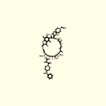 CO[C@H]1/C=C/OC2(C)Oc3c(C)c(O)c(c(C)c3C2=O)C(=O)/C(=C2\C=NC3(CCN(CC(C)C)CC3)N2)NC(=O)/C(C)=C\C=C\C(C)[C@H](O)[C@@H](C)C(O)[C@@H](C)[C@H](OC(=O)C(C)C(=O)N2CCC(N(C)c3ccccc3)CC2)[C@@H]1C